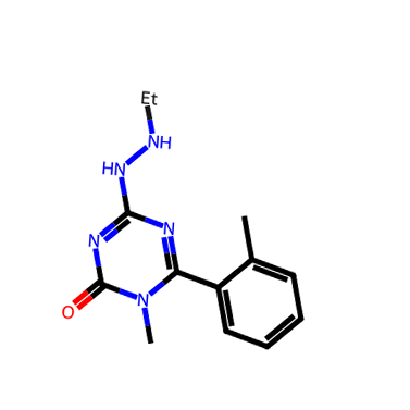 CCNNc1nc(-c2ccccc2C)n(C)c(=O)n1